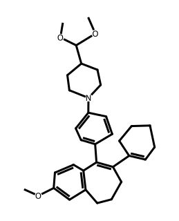 COc1ccc2c(c1)CCCC(C1=CCCCC1)=C2c1ccc(N2CCC(C(OC)OC)CC2)cc1